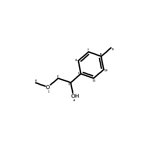 COCC(O)c1ccc(C)cc1